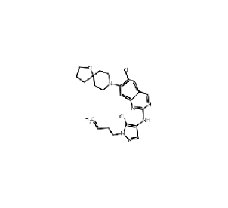 C=CCCn1ncc(Nc2ncc3cc(Cl)c(N4CCC5(CCCO5)CC4)cc3n2)c1Cl